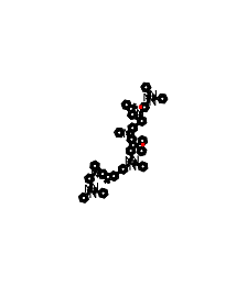 CC1(C)c2ccc(-c3ccc(-c4nc(-c5ccccc5)nc(-c5ccc6c(c5)C(c5ccccc5)(c5ccccc5)c5cc7c8cc(-c9cccc%10c9c9ccc%11c(c9n%10-c9ccc(-c%10nc(-c%12ccccc%12)nc(-c%12ccccc%12)n%10)cc9)C(C)(C)c9ccccc9-%11)ccc8n(-c8ccccc8)c7cc5-6)n4)cc3)cc2-c2cc3c4ccccc4n(-c4cccc(-c5nc(-c6ccccc6)nc(-c6ccccc6)n5)c4)c3cc21